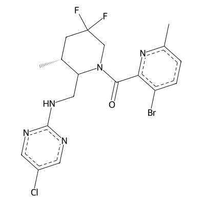 Cc1ccc(Br)c(C(=O)N2CC(F)(F)C[C@@H](C)C2CNc2ncc(Cl)cn2)n1